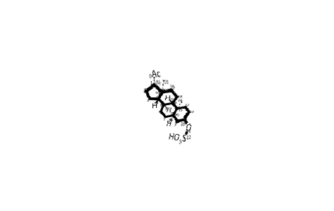 CC(=O)[C@H]1CC[C@H]2[C@@H]3CC[C@@H]4CC(OS(=O)(=O)O)=CC[C@]4(C)[C@H]3CC[C@]12C